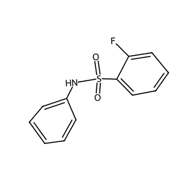 O=S(=O)(Nc1ccccc1)c1ccccc1F